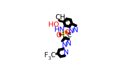 CC(O)c1ccc2cnn(C)c2c1NS(=O)(=O)c1cnn(-c2cc(C(F)(F)F)ccn2)c1